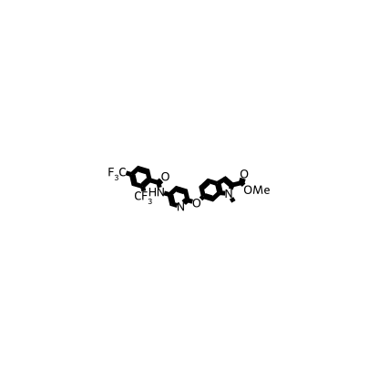 COC(=O)c1cc2ccc(Oc3ccc(NC(=O)c4ccc(C(F)(F)F)cc4C(F)(F)F)cn3)cc2n1C